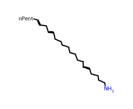 CCCCCC=CCC=CCCCCCCCCC=CCCCCN